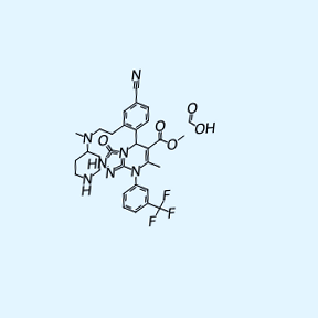 COC(=O)C1=C(C)N(c2cccc(C(F)(F)F)c2)c2n[nH]c(=O)n2C1c1ccc(C#N)cc1CCN(C)C1CCNCC1.O=CO